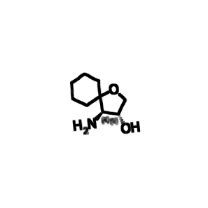 N[C@@H]1[C@@H](O)COC12CCCCC2